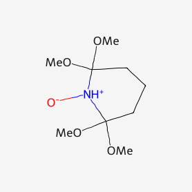 COC1(OC)CCCC(OC)(OC)[NH+]1[O-]